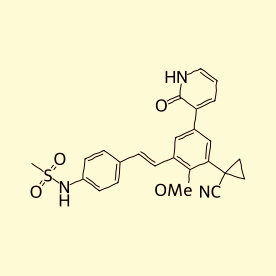 COc1c(/C=C/c2ccc(NS(C)(=O)=O)cc2)cc(-c2ccc[nH]c2=O)cc1C1(C#N)CC1